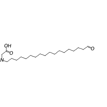 CN(CCCCCCCCCCCCCCCCCC=O)CC(=O)O